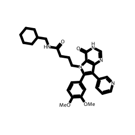 COc1ccc(-c2c(-c3cccnc3)c3nc[nH]c(=O)c3n2CCCC(=O)NCC2CCCCC2)cc1OC